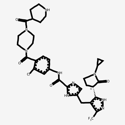 O=C(Nc1ccc(C(=O)N2CCN(C(=O)C3CCNCC3)CC2)c(Cl)c1)c1ncc(Cc2c(C(F)(F)F)n[nH]c2[C@@H]2CCN(C3CC3)C2=O)[nH]1